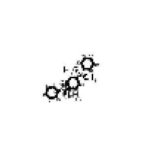 CC1([Si](C)(C)C2CCCCC2)CCC([Si](C)(C)C2CCCCC2)CC1